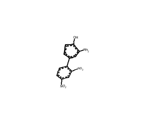 Nc1cc(-c2ccc([N+](=O)[O-])cc2[N+](=O)[O-])ccc1O